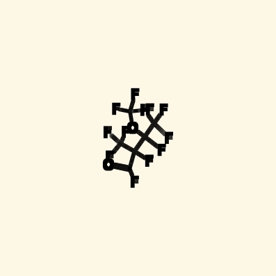 O=C(F)C(F)(C(F)(F)F)C(F)(OC(F)(F)F)C(F)(F)F